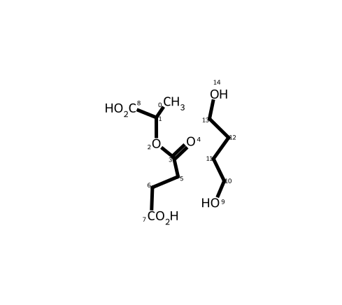 CC(OC(=O)CCC(=O)O)C(=O)O.OCCCCO